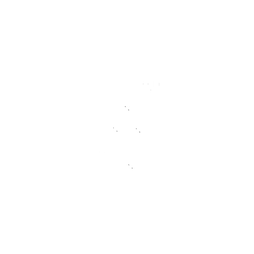 CCOC(=O)CNc1ncc(N)c(O)n1